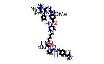 COc1cc(C(=O)NC2CCN(CCCCC(=O)NC(C(=O)N3CCCC3C(=O)NCc3ccc(-c4scnc4C)cc3)C(C)(C)C)CC2)ccc1Nc1ncc2c(n1)N(C1CCCC1)C(C(C)C)c1c(C#N)ncn1-2